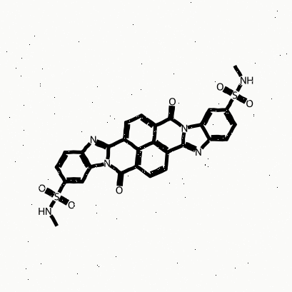 CNS(=O)(=O)c1ccc2nc3c4ccc5c(=O)n6c7cc(S(=O)(=O)NC)ccc7nc6c6ccc(c(=O)n3c2c1)c4c56